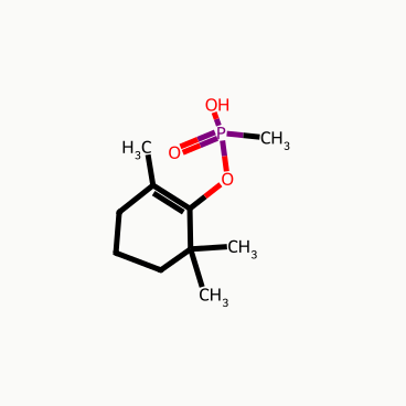 CC1=C(OP(C)(=O)O)C(C)(C)CCC1